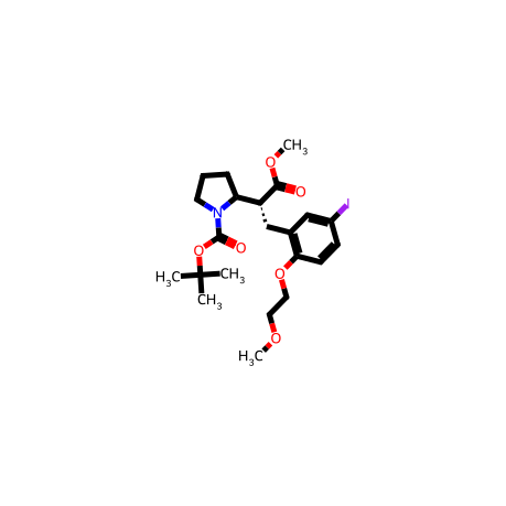 COCCOc1ccc(I)cc1C[C@@H](C(=O)OC)C1CCCN1C(=O)OC(C)(C)C